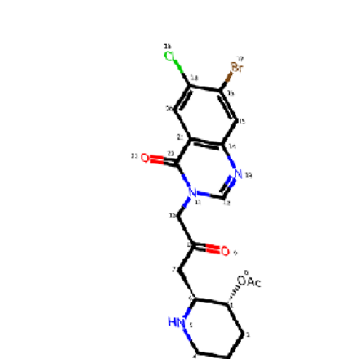 CC(=O)O[C@@H]1CCCN[C@H]1CC(=O)Cn1cnc2cc(Br)c(Cl)cc2c1=O